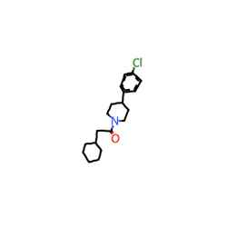 O=C(CC1CCCCC1)N1CCC(c2ccc(Cl)cc2)CC1